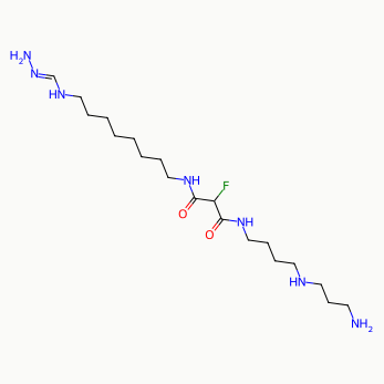 NCCCNCCCCNC(=O)C(F)C(=O)NCCCCCCCCNC=NN